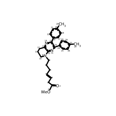 COC(=O)CC=CCCCN1CCCc2nc(-c3ccc(C)cc3)c(-c3ccc(C)cc3)nc21